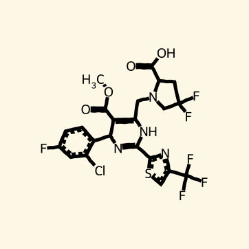 COC(=O)C1=C(CN2CC(F)(F)CC2C(=O)O)NC(c2nc(C(F)(F)F)cs2)=NC1c1ccc(F)cc1Cl